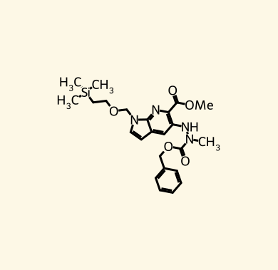 COC(=O)c1nc2c(ccn2COCC[Si](C)(C)C)cc1NN(C)C(=O)OCc1ccccc1